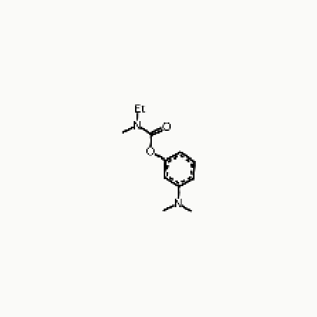 CCN(C)C(=O)Oc1cccc(N(C)C)c1